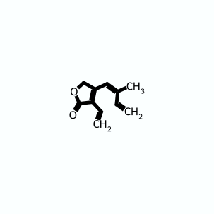 C=CC1=C(/C=C(/C)C=C)COC1=O